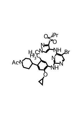 CC(=O)N1CCC(c2cc(OC3CC3)c(Nc3ncc(Br)c(Nc4cn(C)nc4S(=O)(=O)C(C)C)n3)cc2C)CC1